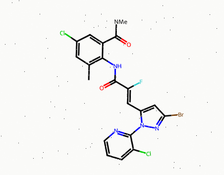 CNC(=O)c1cc(Cl)cc(C)c1NC(=O)C(F)=Cc1cc(Br)nn1-c1ncccc1Cl